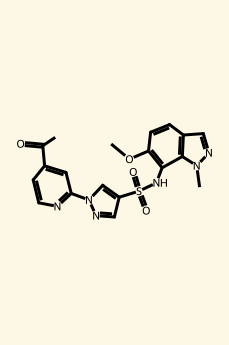 COc1ccc2cnn(C)c2c1NS(=O)(=O)c1cnn(-c2cc(C(C)=O)ccn2)c1